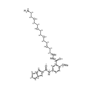 COc1ccc(NC(=O)c2cn3ccsc3n2)cc1C(=O)NNCCOCCOCCOCCOCCN